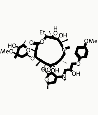 CC[C@H]1OC(=O)[C@H](C)[C@@H](O[C@H]2C[C@@](C)(OC)[C@@H](O)[C@H](C)O2)[C@H](C)[C@@H](O[C@@H]2O[C@H](C)CC(N(C)CC(O)COc3ccc(OC)cc3)[C@H]2O)[C@](C)(O)C[C@@H](C)CN(C)[C@H](C)[C@@H](O)[C@]1(C)O